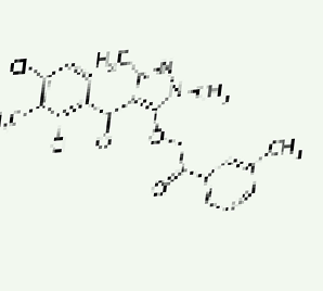 Cc1cccc(C(=O)COc2c(C(=O)c3ccc(Cl)c(C)c3Cl)c(C)nn2C)c1